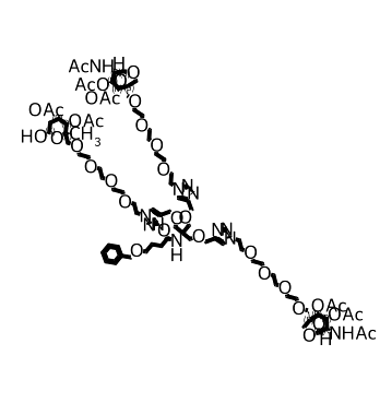 CC(=O)N[C@H]1[C@H]2OC[C@](COCCOCCOCCOCCn3cc(COCC(COCc4cn(CCOCCOCCOCCOC[C@@]56CO[C@@H](O5)[C@H](NC(C)=O)[C@@H](OC(C)=O)[C@H]6OC(C)=O)nn4)(COCc4cn(CCOCCOCCOCCOC[C@@]5(C)O[C@H](O)C[C@@H](OC(C)=O)[C@H]5OC(C)=O)nn4)NC(=O)CCCOCc4ccccc4)nn3)(O2)[C@H](OC(C)=O)[C@@H]1OC(C)=O